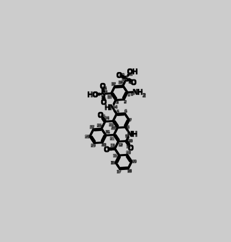 Nc1cc(Nc2ccc3[nH]c(=O)c(C(=O)c4ccccc4)c4c3c2C(=O)c2ccccc2-4)c(S(=O)(=O)O)cc1S(=O)(=O)O